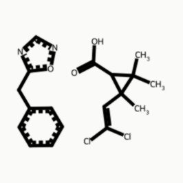 CC1(C)C(C(=O)O)C1(C)C=C(Cl)Cl.c1ccc(Cc2ncno2)cc1